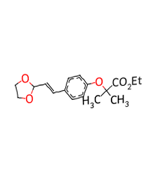 CCOC(=O)C(C)(C)Oc1ccc(/C=C/C2OCCO2)cc1